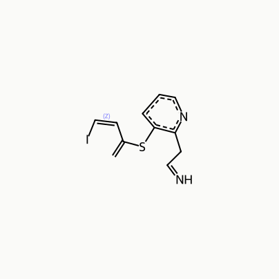 C=C(/C=C\I)Sc1cccnc1CC=N